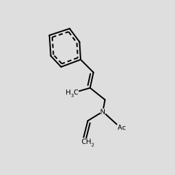 C=CN(C/C(C)=C/c1ccccc1)C(C)=O